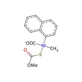 COC(=O)S[N+](C)(C(=O)[O-])c1cccc2ccccc12